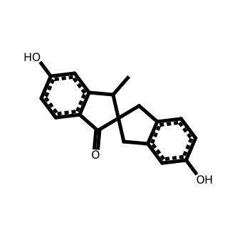 CC1c2cc(O)ccc2C(=O)C12Cc1ccc(O)cc1C2